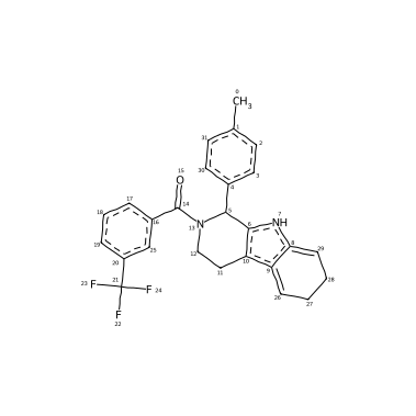 Cc1ccc(C2c3[nH]c4c(c3CCN2C(=O)c2cccc(C(F)(F)F)c2)=CCCC=4)cc1